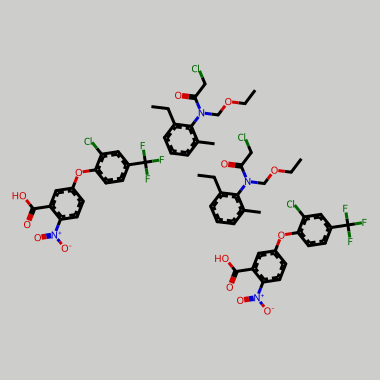 CCOCN(C(=O)CCl)c1c(C)cccc1CC.CCOCN(C(=O)CCl)c1c(C)cccc1CC.O=C(O)c1cc(Oc2ccc(C(F)(F)F)cc2Cl)ccc1[N+](=O)[O-].O=C(O)c1cc(Oc2ccc(C(F)(F)F)cc2Cl)ccc1[N+](=O)[O-]